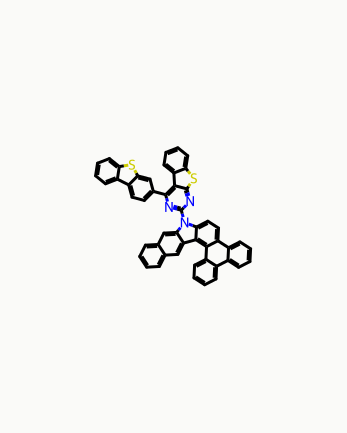 c1ccc2cc3c(cc2c1)c1c2c4ccccc4c4ccccc4c2ccc1n3-c1nc(-c2ccc3c(c2)sc2ccccc23)c2c(n1)sc1ccccc12